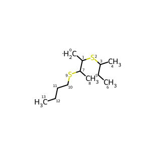 [CH2]C(SC(C)CC)C(C)SCCCC